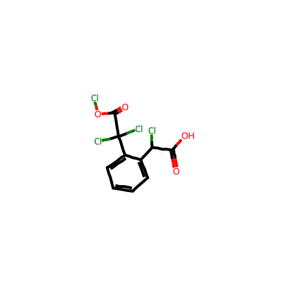 O=C(O)C(Cl)c1ccccc1C(Cl)(Cl)C(=O)OCl